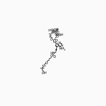 CSSCO[C@H]1C[C@H](n2cc(C#CCNC(=O)OCCCCOCSSC(C)(C)CCO)c3c(N)ncnc32)O[C@@H]1COP(=O)(O)O[PH](=O)OP(=O)(O)O